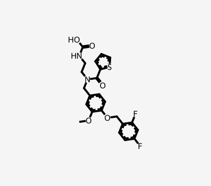 COc1cc(CN(CCNC(=O)O)C(=O)c2cccs2)ccc1OCc1ccc(F)cc1F